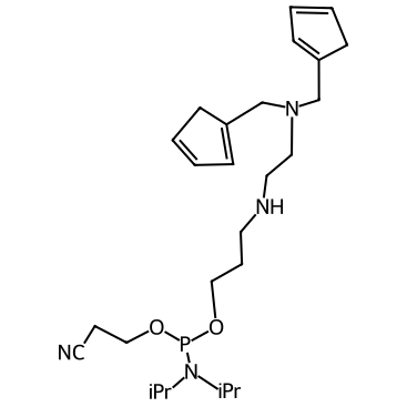 CC(C)N(C(C)C)P(OCCC#N)OCCCNCCN(CC1=CC=CC1)CC1=CC=CC1